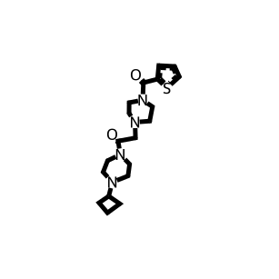 O=C(CN1CCN(C(=O)c2cccs2)CC1)N1CCN(C2CCC2)CC1